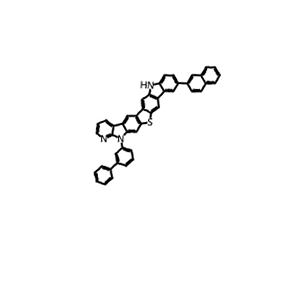 c1ccc(-c2cccc(-n3c4cc5sc6cc7c(cc6c5cc4c4cccnc43)[nH]c3ccc(-c4ccc5ccccc5c4)cc37)c2)cc1